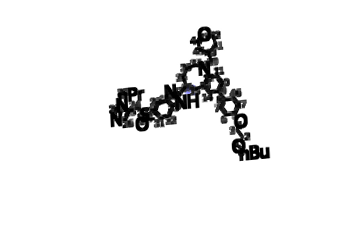 CCCCOCCOc1ccc(-c2ccc3c(c2)/C=C(/c2nc4cc([S@@+]([O-])Cc5cncn5CCC)ccc4[nH]2)CCCN3CC2CCOCC2)cc1